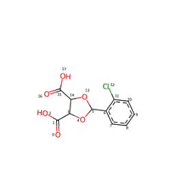 O=C(O)C1OC(c2ccccc2Cl)OC1C(=O)O